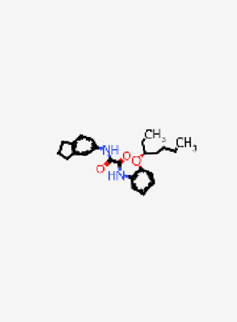 CCCCC(CC)Oc1ccccc1NC(=O)C(=O)Nc1ccc2c(c1)CCC2